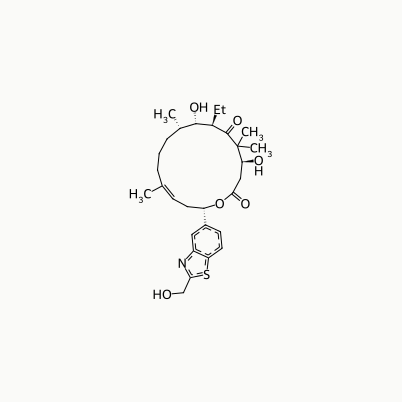 CC[C@H]1C(=O)C(C)(C)[C@@H](O)CC(=O)O[C@H](c2ccc3sc(CO)nc3c2)C/C=C(/C)CCC[C@H](C)[C@@H]1O